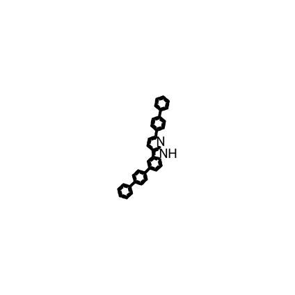 c1ccc(-c2ccc(-c3ccc4[nH]c5nc(-c6ccc(-c7ccccc7)cc6)ccc5c4c3)cc2)cc1